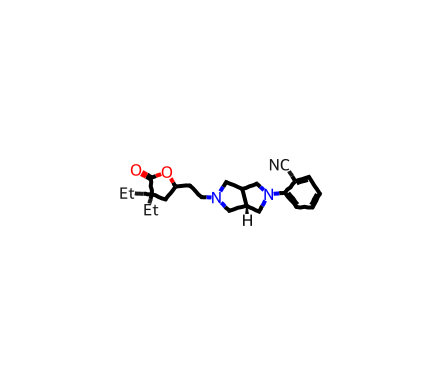 CCC1(CC)CC(CCN2CC3CN(c4ccccc4C#N)C[C@@H]3C2)OC1=O